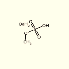 COS(=O)(=O)O.[BaH2]